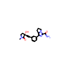 CN1CC[C@@](O)(C#Cc2cccc(-c3nc(C(N)=O)n4c3CCC4)c2)C1=O